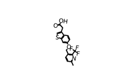 Cc1ccc(COc2ccc3c(CC(=O)O)csc3c2)c(C(F)(F)F)n1